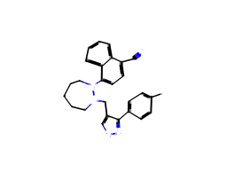 Cc1ccc(-c2n[nH]cc2CN2CCCCCN2c2ccc(C#N)c3ccccc23)cc1